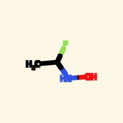 CC(F)NO